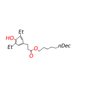 CCCCCCCCCCCCCCCOC(=O)CCc1cc(CC)c(O)c(CC)c1